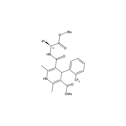 COC(=O)C1=C(C)NC(C)=C(C(=O)N[C@H](C(=O)OC(C)(C)C)C(C)C)C1c1ccccc1C(F)(F)F